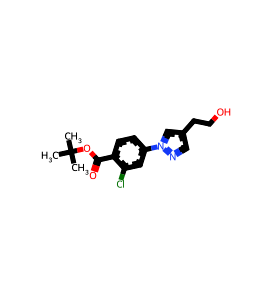 CC(C)(C)OC(=O)c1ccc(-n2cc(CCO)cn2)cc1Cl